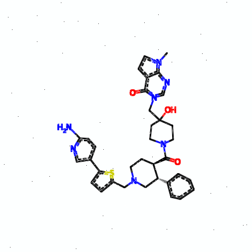 Cn1ccc2c(=O)n(CC3(O)CCN(C(=O)[C@@H]4CCN(Cc5ccc(-c6ccc(N)nc6)s5)C[C@H]4c4ccccc4)CC3)cnc21